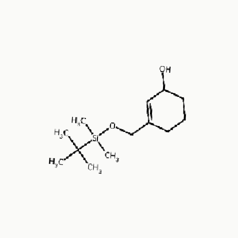 CC(C)(C)[Si](C)(C)OCC1=CC(O)CCC1